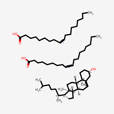 CC(C)CCC[C@@H](C)[C@H]1CC[C@H]2[C@@H]3CC=C4C[C@@H](O)CC[C@]4(C)[C@H]3CC[C@]12C.CCCCCCCC/C=C\CCCCCCCC(=O)O.CCCCCCCC/C=C\CCCCCCCC(=O)O